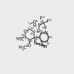 CO[C@H]1[C@@H](S)O[C@H](CO)[C@H](OSC(F)(F)F)C1(N=[N+]=[N-])c1cccnc1